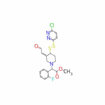 COC(=O)C(c1ccccc1F)N1CCC(SSc2ccc(Cl)nn2)/C(=C\C=O)C1